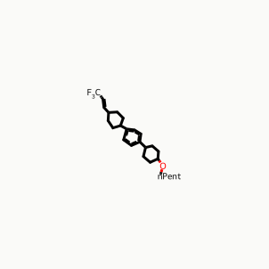 CCCCCOC1CCC(c2ccc(C3CCC(/C=C/C(F)(F)F)CC3)cc2)CC1